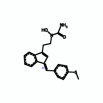 CSc1ccc(/C=C2\C=C(CCN(O)C(N)=O)c3ccccc32)cc1